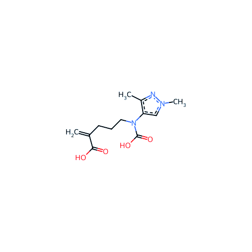 C=C(CCCN(C(=O)O)c1cn(C)nc1C)C(=O)O